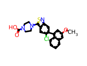 COc1cc(-c2cc3nsc(N4CCN(C(=O)O)CC4)c3cc2Cl)c2ccccc2c1